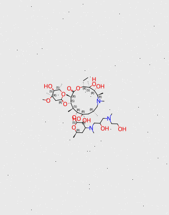 CC[C@H]1OC(=O)[C@H](C)[C@@H](O[C@H]2C[C@@](C)(OC)[C@@H](O)[C@H](C)O2)[C@H](C)[C@@H](O[C@@H]2O[C@H](C)CC(N(C)CC(O)CN(C)CCO)[C@H]2O)[C@](C)(O)C[C@@H](C)CN(C)[C@H](C)[C@@H](O)[C@]1(C)O